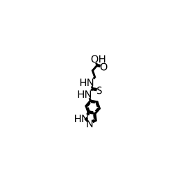 O=C(O)CCNC(=S)Nc1ccc2cn[nH]c2c1